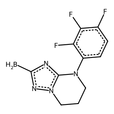 Bc1nc2n(n1)CCCN2c1ccc(F)c(F)c1F